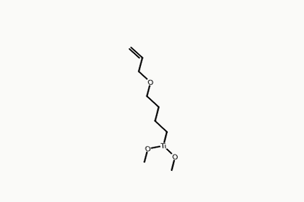 C=CCOCCC[CH2][Ti]([O]C)[O]C